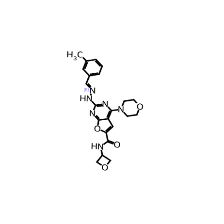 Cc1cccc(/C=N/Nc2nc(N3CCOCC3)c3cc(C(=O)NC4COC4)oc3n2)c1